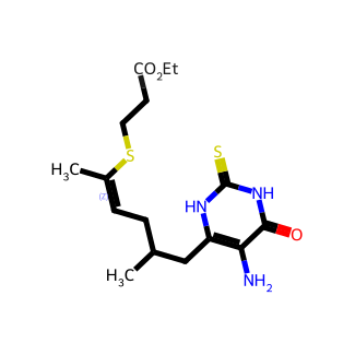 CCOC(=O)CCS/C(C)=C\CC(C)Cc1[nH]c(=S)[nH]c(=O)c1N